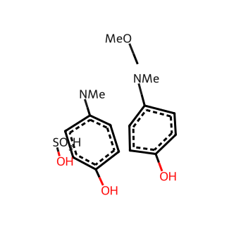 CNc1ccc(O)cc1.CNc1ccc(O)cc1.COC.O=S(=O)(O)O